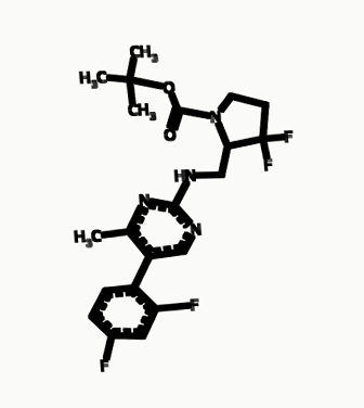 Cc1nc(NCC2N(C(=O)OC(C)(C)C)CCC2(F)F)ncc1-c1ccc(F)cc1F